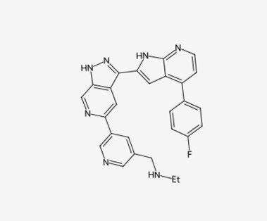 CCNCc1cncc(-c2cc3c(-c4cc5c(-c6ccc(F)cc6)ccnc5[nH]4)n[nH]c3cn2)c1